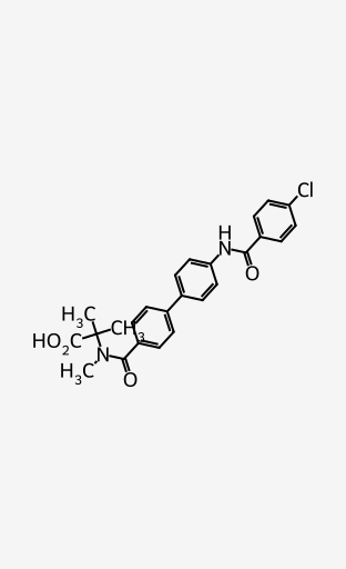 CN(C(=O)c1ccc(-c2ccc(NC(=O)c3ccc(Cl)cc3)cc2)cc1)C(C)(C)C(=O)O